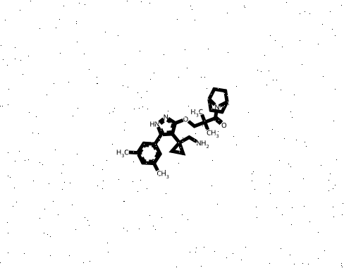 Cc1cc(C)cc(-c2[nH]nc(OCC(C)(C)C(=O)N3C4CCC3CC4)c2C2(CN)CC2)c1